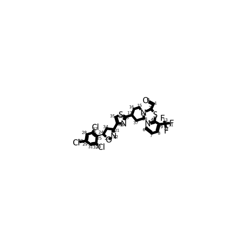 O=CC(Sc1ncccc1C(F)(F)F)N1CCC(c2nc(C3=NO[C@@H](c4c(Cl)cc(Cl)cc4Cl)C3)cs2)CC1